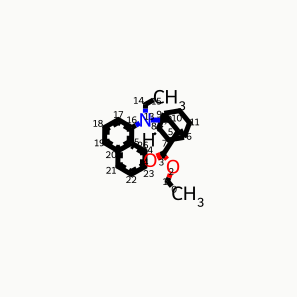 CCOC(=O)C1=C2CCC(CC2)[C@@H]1N(CC)c1cccc2ccccc12